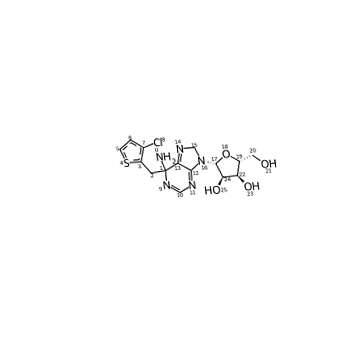 NC1(Cc2sccc2Cl)N=CN=C2C1=NCN2[C@@H]1O[C@H](CO)[C@@H](O)[C@H]1O